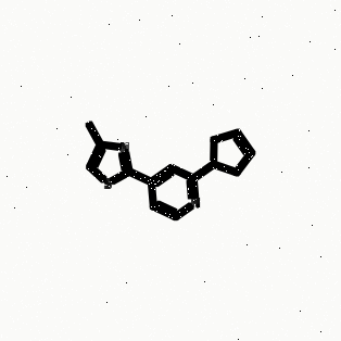 Cc1csc(-c2ccnc(C3CC=CC3)c2)n1